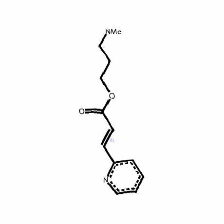 CNCCCOC(=O)/C=C/c1ccccn1